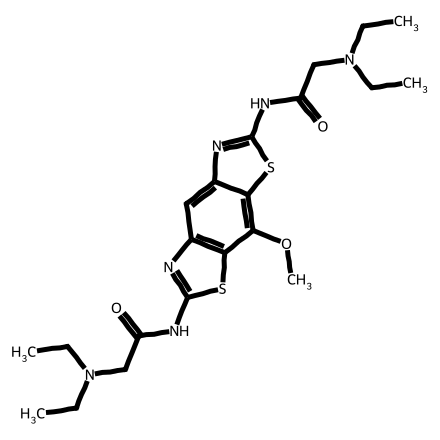 CCN(CC)CC(=O)Nc1nc2cc3nc(NC(=O)CN(CC)CC)sc3c(OC)c2s1